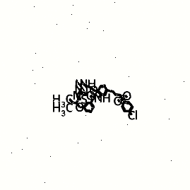 CC(C)C(Oc1cccc(C(=O)Nc2cc(CCCS(=O)(=O)c3ccc(Cl)cc3)ccc2OCc2nnn[nH]2)c1)c1nccs1